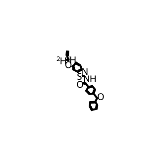 [2H]C([2H])(C#C)Oc1ccc2nc(NC(=O)c3ccc(C(=O)c4ccccc4)cc3)sc2c1